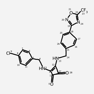 O=c1c(NCc2ccc(Cl)cc2)c(NCc2ccc(-c3noc(C(F)(F)F)n3)cc2)c1=O